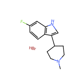 Br.CN1CCC(c2c[nH]c3cc(F)ccc23)CC1